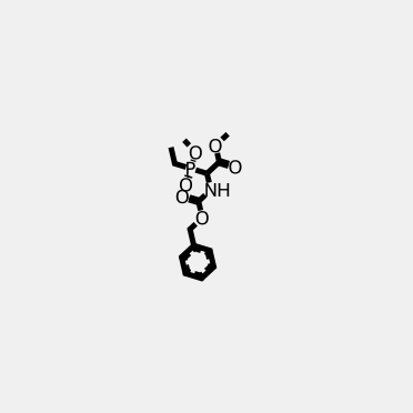 CCP(=O)(OC)C(NC(=O)OCc1ccccc1)C(=O)OC